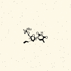 C=CC[C@H]1C[C@H](n2cc(C)c(=O)[nH]c2=O)O[C@@H]1CO[Si](C)(C)C(C)(C)C